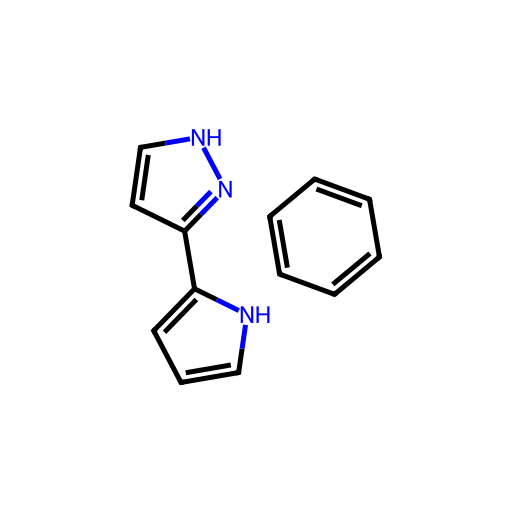 c1c[nH]c(-c2cc[nH]n2)c1.c1ccccc1